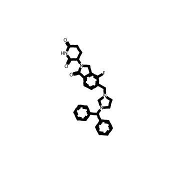 O=C1CCC(N2Cc3c(ccc(CN4CCN(C(c5ccccc5)c5ccccc5)C4)c3F)C2=O)C(=O)N1